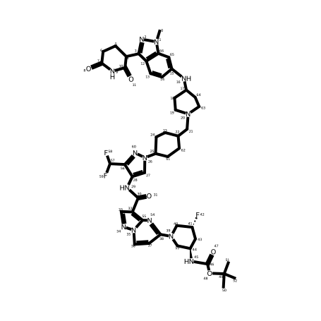 Cn1nc(C2CCC(=O)NC2=O)c2ccc(NC3CCN(CC4CCC(n5cc(NC(=O)c6cnn7ccc(N8C[C@H](F)C[C@@H](NC(=O)OC(C)(C)C)C8)nc67)c(C(F)F)n5)CC4)CC3)cc21